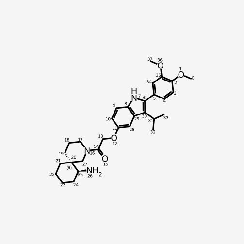 COc1ccc(-c2[nH]c3ccc(OCC(=O)N4CCC[C@]5(CCCC[C@@H]5N)C4)cc3c2C(C)C)cc1OC